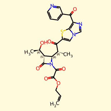 C=CCOC(=O)C(=O)N1C(=O)[C@H]([C@@H](C)O)[C@H]1[C@@H](C)C(=O)c1cn2cnc(C(=O)c3cccnc3)c2s1